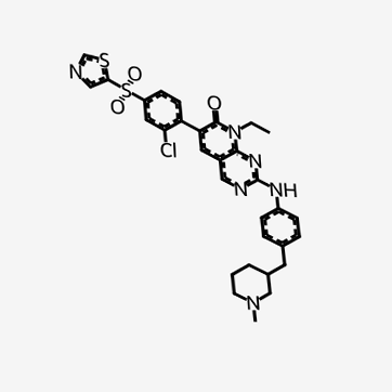 CCn1c(=O)c(-c2ccc(S(=O)(=O)c3cncs3)cc2Cl)cc2cnc(Nc3ccc(CC4CCCN(C)C4)cc3)nc21